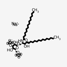 CCCCCCCCCCCCC/C=C/[C@@H](O)[C@H](CO[C@@H]1O[C@H](COS(=O)(=O)[O-])[C@H](O)[C@H](OS(=O)(=O)[O-])[C@H]1O)NC(=O)CCCCCCCCCCCCCCC.[Na+].[Na+]